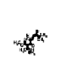 C=C(C)/C(Br)=C\C=C(/C)C(=O)/C(C(=O)OC)=C(/C)NC